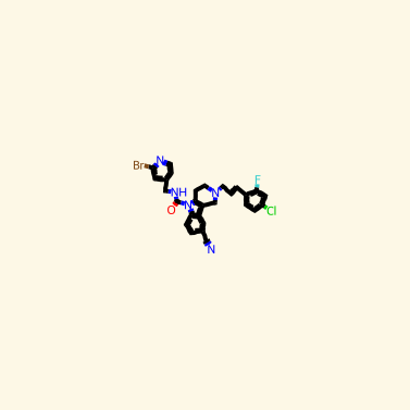 N#Cc1ccc2c(c1)c1c(n2C(=O)NCc2ccnc(Br)c2)CCN(CC=Cc2ccc(Cl)cc2F)C1